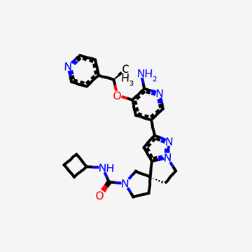 C[C@@H](Oc1cc(-c2cc3n(n2)CC[C@@]32CCN(C(=O)NC3CCC3)C2)cnc1N)c1ccncc1